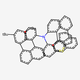 CC(C)(C)c1cc(-c2cccc3cccc(-c4ccccc4N(c4ccccc4-c4cccc5cccc(-c6ccccc6)c45)c4cccc5sc6ccccc6c45)c23)cc(C(C)(C)C)c1